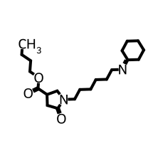 CCCCOC(=O)C1CC(=O)N(CCCCCCN=C2CCCCC2)C1